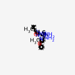 Cc1nc(/C(N)=C(\CNc2noc(CCC3(C)CC3)n2)N(C)N)ccc1OC1CCCCC1